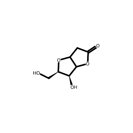 O=C1CC2O[C@H](CO)[C@H](O)C2O1